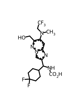 CN(CC(F)(F)F)c1cc2nc(C(NC(=O)O)C3CCC(F)(F)CC3)cn2nc1CO